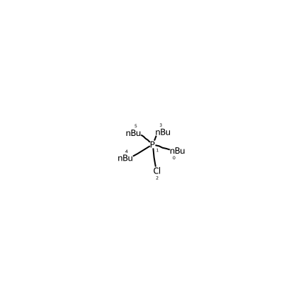 CCCCP(Cl)(CCCC)(CCCC)CCCC